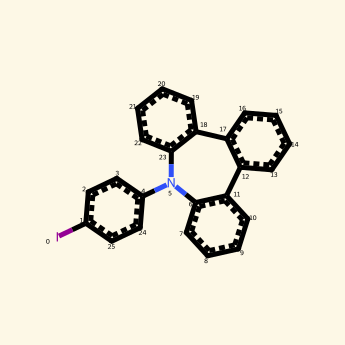 Ic1ccc(N2c3ccccc3-c3ccccc3-c3ccccc32)cc1